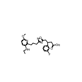 CCNc1ccc(OC)nc1CCCc1noc(CC(CC(=O)O)c2cccc(F)c2)n1